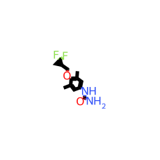 Cc1cc(NC(N)=O)cc(C)c1OCC1CC1(F)F